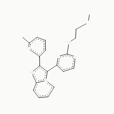 COCCNc1nccc(-c2c(-c3cccc(C)n3)nc3ccccn23)n1